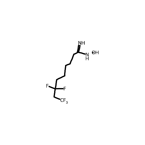 N=C(CCCCCC(F)(F)CC(F)(F)F)NO